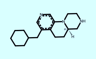 c1ncc2c(c1CC1CCCCC1)CC[C@@H]1CNCCN21